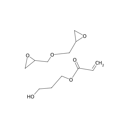 C(OCC1CO1)C1CO1.C=CC(=O)OCCCO